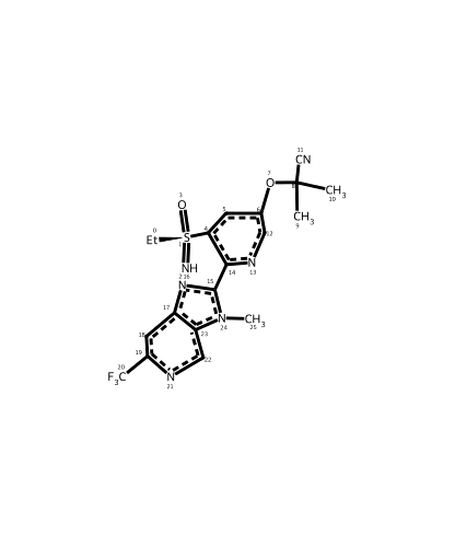 CC[S@@](=N)(=O)c1cc(OC(C)(C)C#N)cnc1-c1nc2cc(C(F)(F)F)ncc2n1C